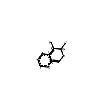 CC1=c2cccnc2=CCC1C